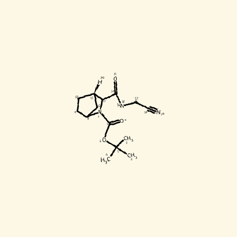 CC(C)(C)OC(=O)N1C2CC[C@@H](C2)C1C(=O)NCC#N